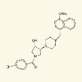 COc1ccc(CN2CCN([C@H]3CN(C(=O)c4ccc(Cl)cc4)C[C@@H]3O)CC2)c2ccccc12